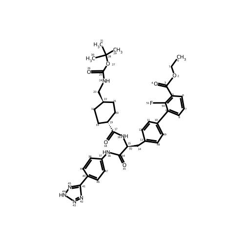 CCOC(=O)c1cccc(-c2ccc(C[C@H](NC(=O)[C@H]3CC[C@H](CNC(=O)OC(C)(C)C)CC3)C(=O)Nc3ccc(-c4nn[nH]n4)cc3)cc2)c1F